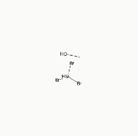 Br[SiH](Br)Br.CO